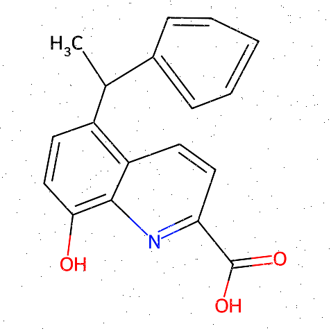 CC(c1ccccc1)c1ccc(O)c2nc(C(=O)O)ccc12